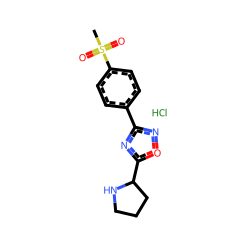 CS(=O)(=O)c1ccc(-c2noc(C3CCCN3)n2)cc1.Cl